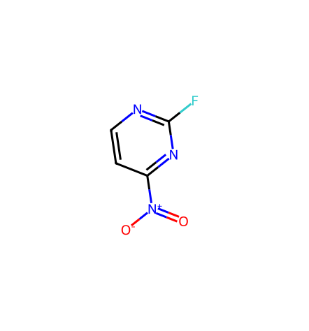 O=[N+]([O-])c1ccnc(F)n1